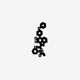 C=CC(=O)N[C@H]1CCCC[C@H]1NC(=O)c1sc2nccc3c2c1NC(=O)N3c1ccc(Oc2ccccc2)cn1